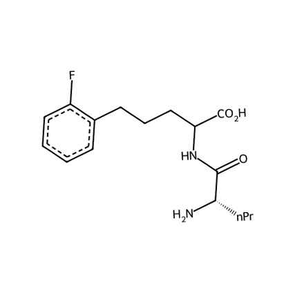 CCC[C@H](N)C(=O)NC(CCCc1ccccc1F)C(=O)O